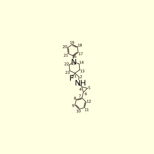 FC1(CNC2CC2c2ccccc2)CCN(c2ccccc2)CC1